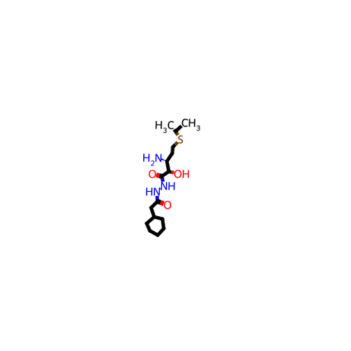 CC(C)SCC[C@@H](N)C(O)C(=O)NNC(=O)CC1CCCCC1